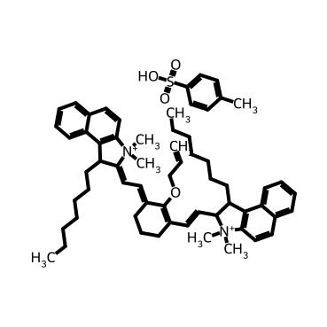 C=CCOC1=C(C=CC2C(CCCCCCC)c3c(ccc4ccccc34)[N+]2(C)C)CCCC1=CC=C1C(CCCCCCC)c2c(ccc3ccccc23)[N+]1(C)C.Cc1ccc(S(=O)(=O)O)cc1